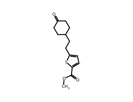 COC(=O)c1[c]cc(CCC2CCC(=O)CC2)s1